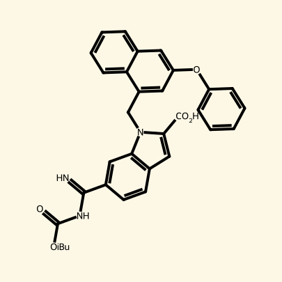 CC(C)COC(=O)NC(=N)c1ccc2cc(C(=O)O)n(Cc3cc(Oc4ccccc4)cc4ccccc34)c2c1